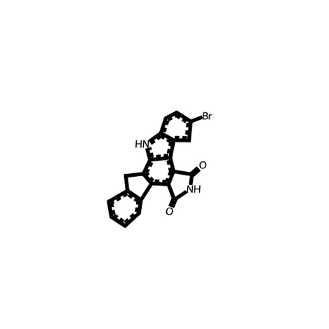 O=C1NC(=O)c2c1c1c(c3[nH]c4ccc(Br)cc4c23)Cc2ccccc2-1